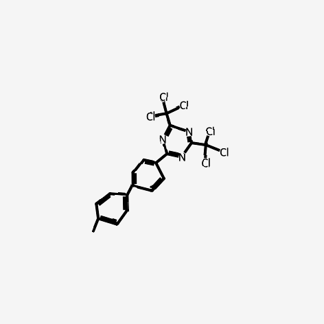 Cc1ccc(-c2ccc(-c3nc(C(Cl)(Cl)Cl)nc(C(Cl)(Cl)Cl)n3)cc2)cc1